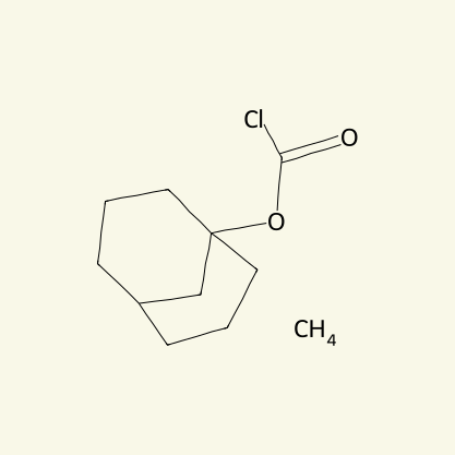 C.O=C(Cl)OC12CCCC(CCC1)C2